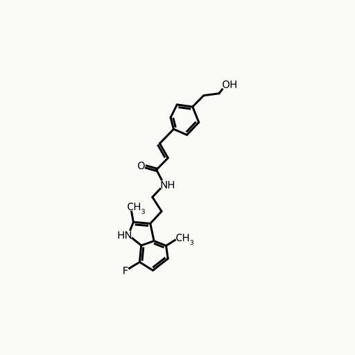 Cc1[nH]c2c(F)ccc(C)c2c1CCNC(=O)/C=C/c1ccc(CCO)cc1